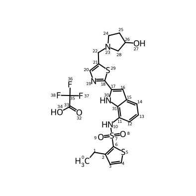 CCc1ccsc1S(=O)(=O)Nc1cccc2cc(-c3ncc(CN4CCC(O)C4)s3)[nH]c12.O=C(O)C(F)(F)F